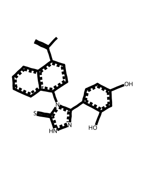 C=C(C)c1ccc(-n2c(-c3ccc(O)cc3O)n[nH]c2=S)c2ccccc12